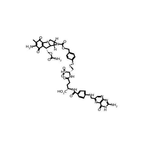 CC1=C(N)C(=O)C2=C(C1=O)N1C[C@H]3[C@@H](C1[C@@H]2COC(N)=O)N3C(=O)OCc1ccc(SSC[C@H](NC(=O)CC[C@H](NC(=O)c2ccc(NCc3cnc4nc(N)[nH]c(=O)c4n3)cc2)C(=O)O)[SH](=O)=O)cc1